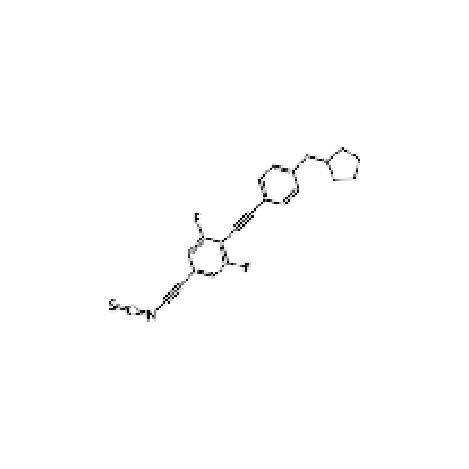 Fc1cc(C#CN=C=S)cc(F)c1C#Cc1ccc(CC2CCCC2)cc1